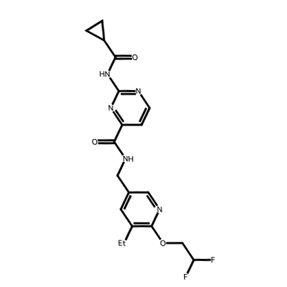 CCc1cc(CNC(=O)c2ccnc(NC(=O)C3CC3)n2)cnc1OCC(F)F